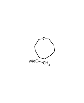 C1CCCCCCCCC1.COC